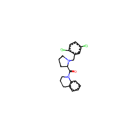 O=C(C1CCCN1Cc1cc(Cl)ccc1Cl)N1CCCc2ccccc21